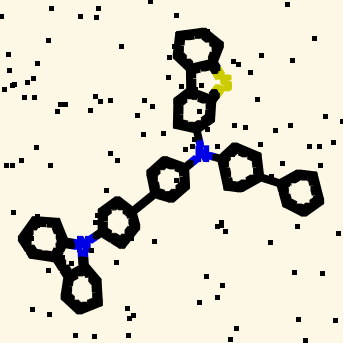 c1ccc(-c2ccc(N(c3ccc(-c4ccc(-n5c6ccccc6c6ccccc65)cc4)cc3)c3ccc4c(c3)sc3ccccc34)cc2)cc1